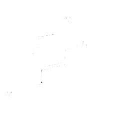 COC(=O)c1ccc(OC)c(N=C=S)c1